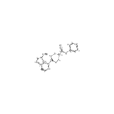 CCCc1csc2ncnc(N3CCN(C(=O)Cc4ccccc4)CC3)c12